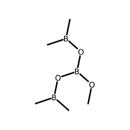 COB(OB(C)C)OB(C)C